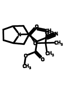 C=CC1(C(C#N)C(=O)OC)CC2CCC(C1)N2C(=O)OC(C)(C)C